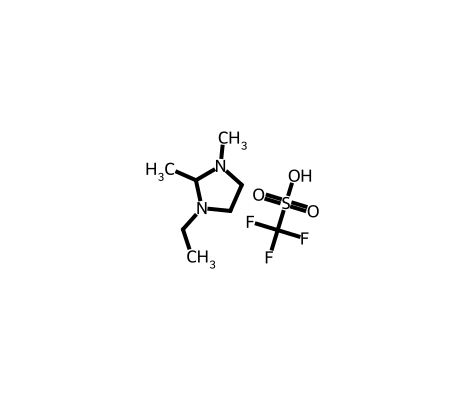 CCN1CCN(C)C1C.O=S(=O)(O)C(F)(F)F